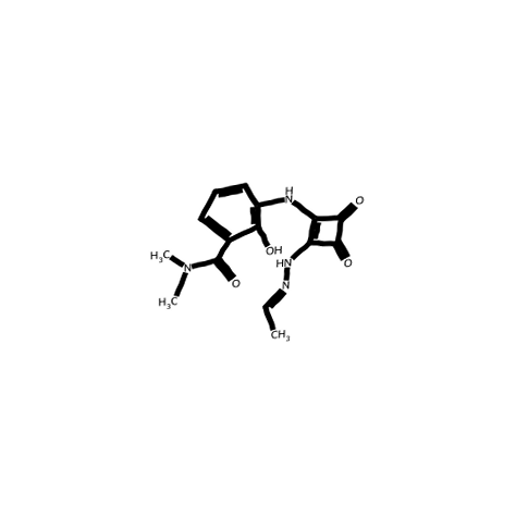 CC=NNc1c(Nc2cccc(C(=O)N(C)C)c2O)c(=O)c1=O